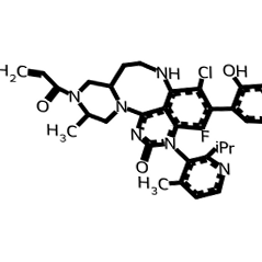 C=CC(=O)N1CC2CCNc3c(Cl)c(-c4ccccc4O)c(F)c4c3c(nc(=O)n4-c3c(C)ccnc3C(C)C)N2CC1C